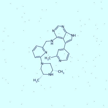 Cc1cc(-c2c[nH]c3ncnc(NCc4cccc(N5C[C@@H](C)N[C@@H](C)C5)n4)c23)ccn1